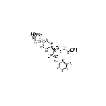 Cc1cccc(COC(=O)N(OCCCO)c2ccc(-c3cn[nH]c3)cc2)c1